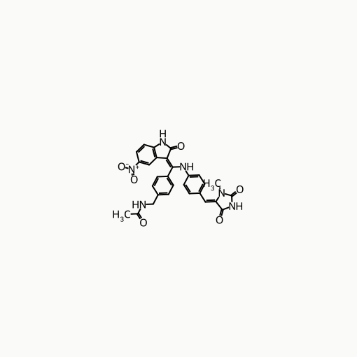 CC(=O)NCc1ccc(/C(Nc2ccc(/C=C3/C(=O)NC(=O)N3C)cc2)=C2/C(=O)Nc3ccc([N+](=O)[O-])cc32)cc1